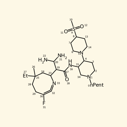 CCCCCN1CCC(N2CCC(S(C)(=O)=O)CC2)C(NC(=O)C(C(N)N)C2CC(C)(CC)CCC(F)=C=N2)C1